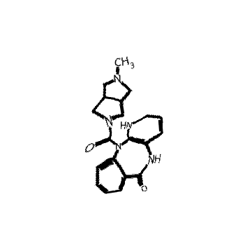 CN1CC2CN(C(=O)N3C4=C(C=CCN4)NC(=O)c4ccccc43)CC2C1